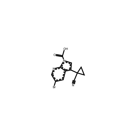 N#CC1(c2cn(C(=O)O)c3ncc(Br)cc23)CC1